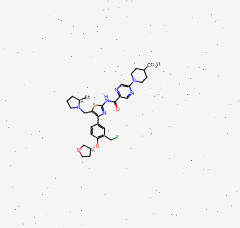 CC[C@@H]1CCCN1Cc1sc(NC(=O)c2cnc(N3CCC(C(=O)O)CC3)cn2)nc1-c1ccc(O[C@@H]2CCOC2)c(CF)c1